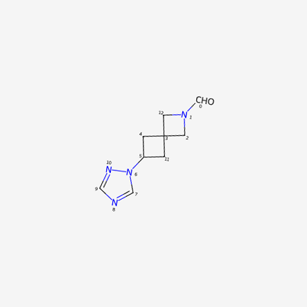 O=CN1CC2(CC(n3cncn3)C2)C1